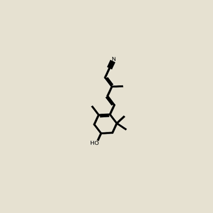 CC1=C(/C=C/C(C)=C/C#N)C(C)(C)CC(O)C1